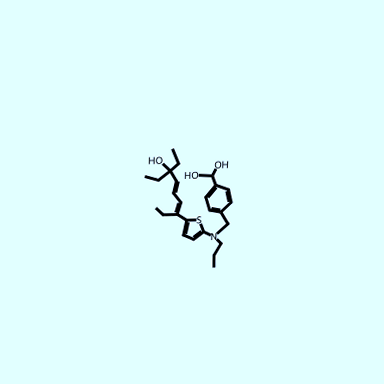 CCCN(Cc1ccc(C(O)O)cc1)c1ccc(C(=CC=CC(O)(CC)CC)CC)s1